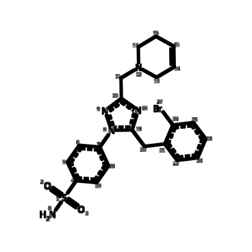 NS(=O)(=O)c1ccc(-n2nc(CN3CC=CCC3)nc2Cc2ccccc2Br)cc1